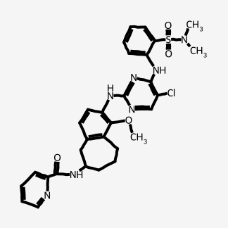 COc1c(Nc2ncc(Cl)c(Nc3ccccc3S(=O)(=O)N(C)C)n2)ccc2c1CCCC(NC(=O)c1ccccn1)C2